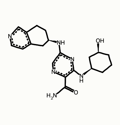 NC(=O)c1ncc(N[C@@H]2CCc3cnccc3C2)nc1N[C@@H]1CCC[C@H](O)C1